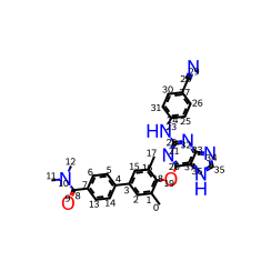 Cc1cc(-c2ccc(C(=O)N(C)C)cc2)cc(C)c1Oc1nc(Nc2ccc(C#N)cc2)nc2nc[nH]c12